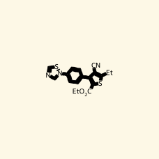 CCOC(=O)c1sc(CC)c(C#N)c1-c1ccc(N2CN=CS2)cc1